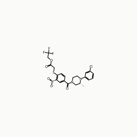 C[C@@H]1CN(C(=O)c2ccc(SCC(=O)OCC(F)(F)F)c([N+](=O)[O-])c2)CCN1c1cccc(Cl)c1